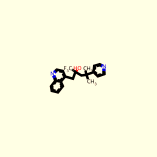 CC(C)(CC(O)(Cc1ccnc2ccccc12)C(F)(F)F)c1ccncc1